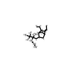 C/C=C1/C2CC(CC(O)(N=[N+]=[N-])C(F)(F)F)C(C2)C1CC